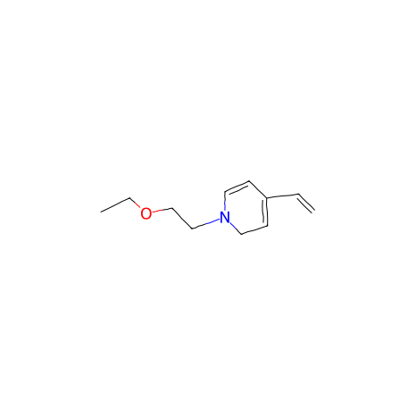 C=CC1=CCN(CCOCC)C=C1